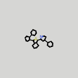 c1ccc(-c2ccnc(-c3sc(-c4ccccc4-c4ccccc4)c4ccccc34)c2)cc1